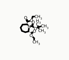 CCOC(=O)[C@H]1CCCC[C@@H](C(=O)OCC)N1C(=O)OC(C)(C)C